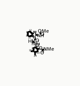 CCCCNC(=O)n1c(NC(=O)OC)nc2ccccc21.CNC(=O)Oc1cc(C)c(C)cc1Cl